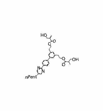 C=C(CO)C(=O)OCCc1cc(CCOC(=O)C(C)CO)cc(-c2ccc(-c3ncc(CCCCC)cn3)cc2)c1